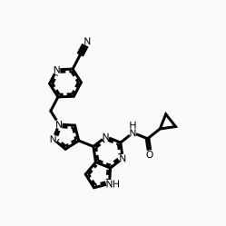 N#Cc1ccc(Cn2cc(-c3nc(NC(=O)C4CC4)nc4[nH]ccc34)cn2)cn1